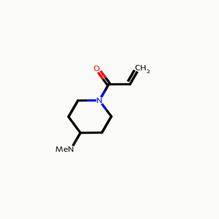 C=CC(=O)N1CCC(NC)CC1